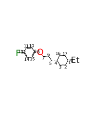 CC[C@H]1CC[C@H](CCCOc2ccc(F)cc2)CC1